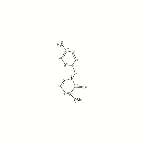 COc1cccn(Cc2ccc(C)cc2)c1=S